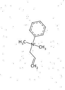 C=CC[N+](C)(C)c1ccccc1